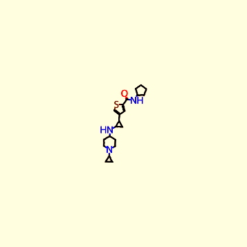 O=C(NC1CCCC1)c1cc(C2CC2NC2CCN(C3CC3)CC2)cs1